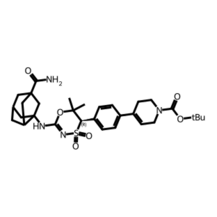 CC(C)(C)OC(=O)N1CC=C(c2ccc([C@@H]3C(C)(C)OC(NC45CC6CC4CC(C(N)=O)(C6)C5)=NS3(=O)=O)cc2)CC1